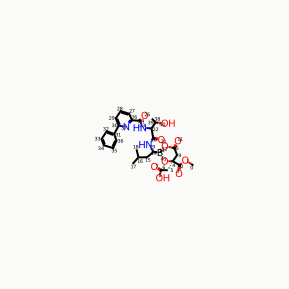 COC(=O)[C@]1(CC(=O)O)CC(=O)OB(C(CC(C)C)NC(=O)C(NC(=O)c2cccc(-c3ccccc3)n2)C(C)O)O1